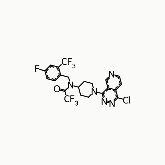 O=C(N(Cc1ccc(F)cc1C(F)(F)F)C1CCN(c2nnc(Cl)c3ccncc23)CC1)C(F)(F)F